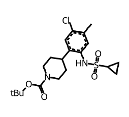 Cc1cc(NS(=O)(=O)C2CC2)c(C2CCN(C(=O)OC(C)(C)C)CC2)cc1Cl